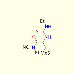 CCNC(=S)NC(CSC)C(=O)N(C#N)CC